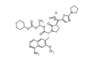 CC(OC(=O)OC1CCCCC1)OC(=O)[C@@H](Cc1cc2ccnc(N)c2cc1OC(F)(F)F)N1CC[C@H](N(c2cnc(N3CCCC3)s2)[SH](=O)=O)C1=O